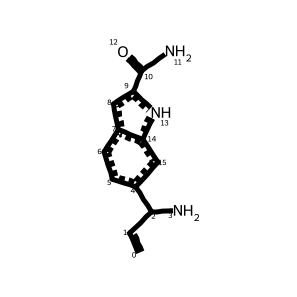 C=CC(N)c1ccc2cc(C(N)=O)[nH]c2c1